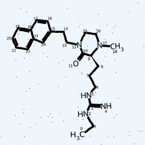 CCNC(=N)NCCC[C@H]1C(=O)N(CCc2ccc3ccccc3c2)CCN1C